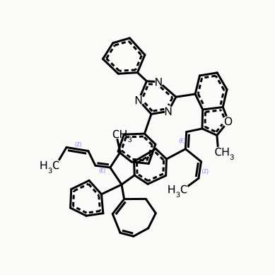 C/C=C\C=C(/CC)C(C1=CC=CCCC1)(c1ccccc1)c1ccc(C(/C=C\C)=C/c2c(C)oc3cccc(-c4nc(-c5ccccc5)nc(-c5ccccc5)n4)c23)cc1